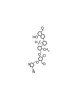 Cc1c(COc2cc(OCc3cncc(C#N)c3)c(C=O)cc2Cl)cccc1-c1cccc(-c2ccc3c(C=O)ccc(O)c3c2)c1C